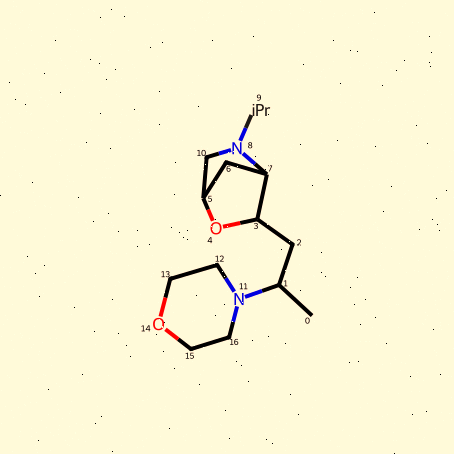 CC(CC1OC2CC1N(C(C)C)C2)N1CCOCC1